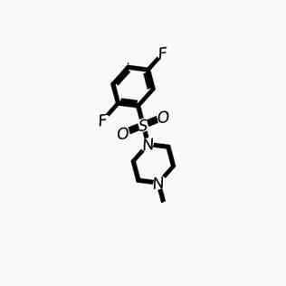 CN1CCN(S(=O)(=O)c2cc(F)[c]cc2F)CC1